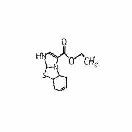 CCOC(=O)C1=CNC2SC3CC=CCC3N12